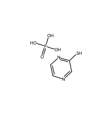 O=P(O)(O)O.Sc1cnccn1